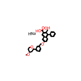 COC1CCOC(c2cccc(COc3ccc4c(-c5ccccc5)c(CO)c(C(=O)O)cc4c3)c2)C1.[NaH]